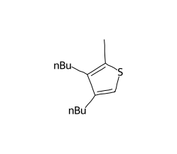 CCCCc1csc(C)c1CCCC